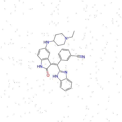 CCN1CCC(Nc2ccc3c(c2)C(=C(c2cccc(C#N)c2)c2nc4ccccc4[nH]2)C(=O)N3)CC1